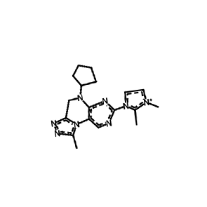 Cc1nnc2n1-c1cnc(-n3cc[n+](C)c3C)nc1N(C1CCCC1)C2